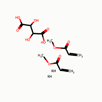 C=CC(=O)OC.C=CC(=O)OC.O=C(O)C(O)C(O)C(=O)O.[KH].[KH]